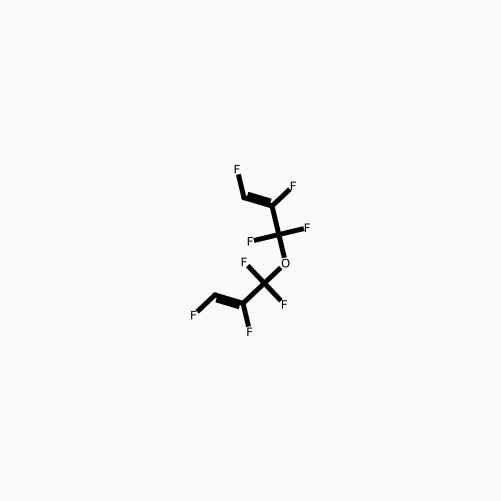 FC=C(F)C(F)(F)OC(F)(F)C(F)=CF